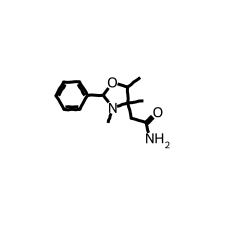 CC1OC(c2ccccc2)N(C)C1(C)CC(N)=O